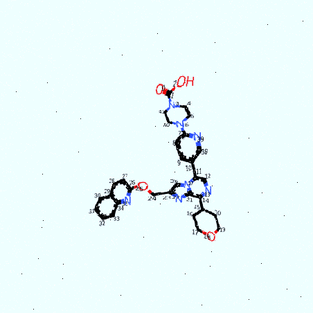 O=C(O)N1CCN(c2ccc(-c3cnc(C4CCOCC4)c4nc(COc5ccc6ccccc6n5)cn34)cn2)CC1